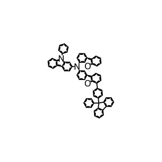 c1ccc(-n2c3ccccc3c3ccc(N(c4ccc5oc6c(-c7ccc(C8(c9ccccc9)c9ccccc9-c9ccccc98)cc7)cccc6c5c4)c4cccc5c4oc4ccccc45)cc32)cc1